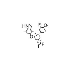 COc1cc(C)c2[nH]ccc2c1CN1CCC2(C[C@H]1c1cnc(OC)c(F)c1)CC(F)(F)C2